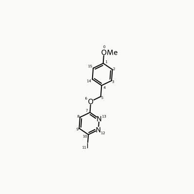 COc1ccc(COc2ccc(I)nn2)cc1